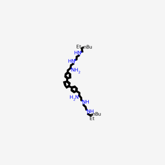 CCCCC(CC)CNCCCNCCC(N)Cc1ccc(-c2cccc(-c3ccc(CC(N)CCNCCCNCC(CC)CCCC)cc3)c2)cc1